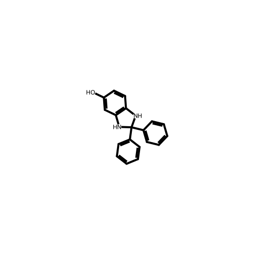 Oc1ccc2c(c1)NC(c1ccccc1)(c1ccccc1)N2